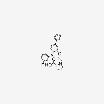 O=C(O)[C@@H]1CCCN1CCOc1cc(-c2ccsc2)ccc1Sc1cccc(F)c1